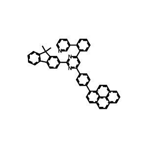 CC1(C)c2ccccc2-c2ccc(-c3nc(-c4ccc(-c5ccc6ccc7cccc8ccc5c6c78)cc4)cc(-c4ccccc4-c4cccnc4)n3)cc21